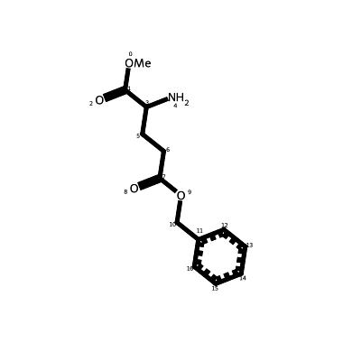 COC(=O)C(N)CCC(=O)OCc1ccccc1